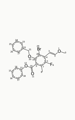 COC=Cc1c(F)c(C)c(C(=O)Oc2ccccc2)c(OCc2ccccc2)c1Br